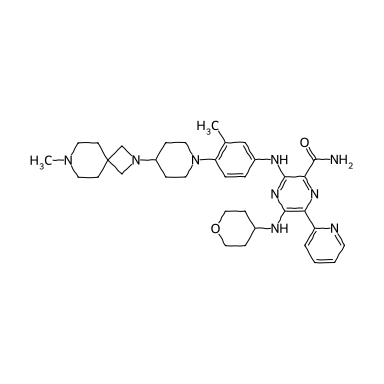 Cc1cc(Nc2nc(NC3CCOCC3)c(-c3ccccn3)nc2C(N)=O)ccc1N1CCC(N2CC3(CCN(C)CC3)C2)CC1